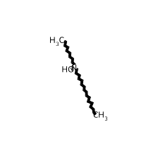 CCCCCCCCCCCCCCCCCN(O)CCCCCCCCCC